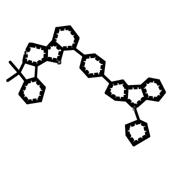 CC1(C)c2ccccc2-c2c1ccc1c2oc2c(-c3ccc(-c4ccc5c(c4)c4ccccc4n5-c4ccccc4)cc3)cccc21